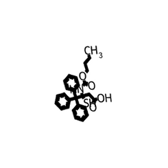 CCCCOC(=O)NC(S)(CC(=O)O)C(c1ccccc1)(c1ccccc1)c1ccccc1